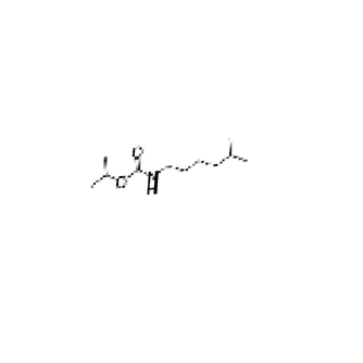 CC(C)CCCCNC(=O)OC(C)C